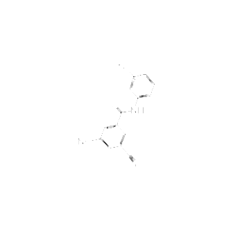 C#Cc1cc(C#N)cc(C(=O)Nc2cccc(C(C)=O)c2)c1